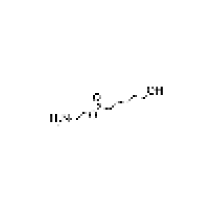 NCCOC(=O)CCCCCO